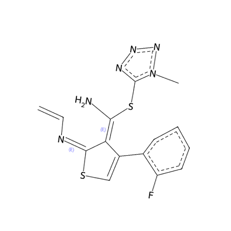 C=C/N=C1/SC=C(c2ccccc2F)/C1=C(/N)Sc1nnnn1C